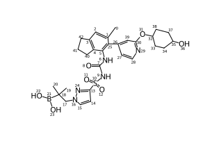 Cc1cc2c(c(NC(=O)NS(=O)(=O)c3ccn(CC(C)(C)B(O)O)n3)c1-c1ccnc(OC3CCC(O)CC3)c1)CCC2